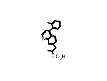 Cc1ccccc1-c1ccnc2cc(CC(C)C(=O)O)ccc12